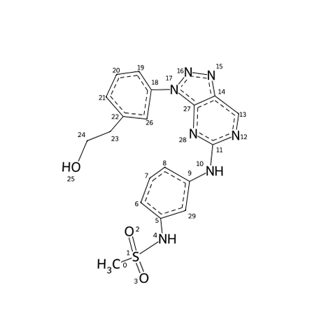 CS(=O)(=O)Nc1cccc(Nc2ncc3nnn(-c4cccc(CCO)c4)c3n2)c1